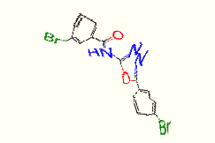 O=C(Nc1nnc(-c2ccc(Br)cc2)o1)c1cccc(Br)c1